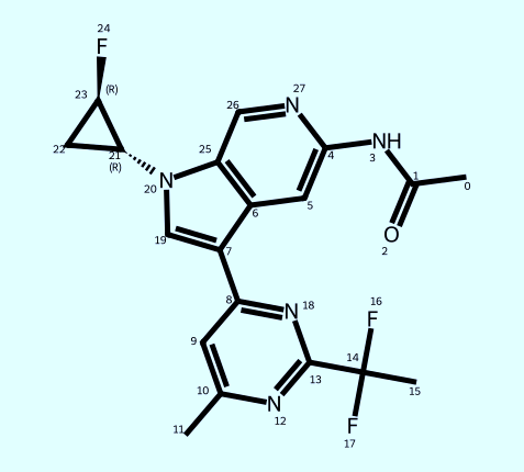 CC(=O)Nc1cc2c(-c3cc(C)nc(C(C)(F)F)n3)cn([C@@H]3C[C@H]3F)c2cn1